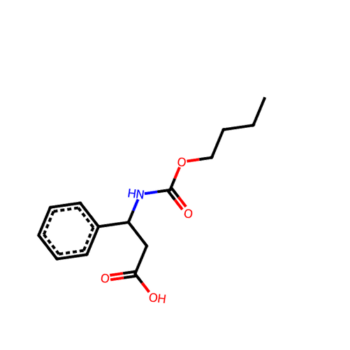 CCCCOC(=O)NC(CC(=O)O)c1ccccc1